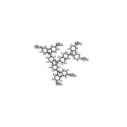 CC(C)(C)c1ccc2c(c1)c1cc(C(C)(C)C)ccc1n2-c1ccc2cc(-n3c4cc(-n5c6ccc(C(C)(C)C)cc6c6cc(C(C)(C)C)ccc65)ccc4c4ccc(-n5c6ccc(C(C)(C)C)cc6c6cc(C(C)(C)C)ccc65)cc43)ccc2c1